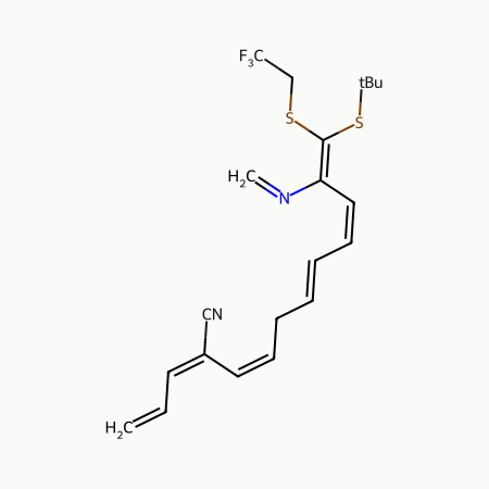 C=C/C=C(C#N)\C=C/C/C=C/C=C\C(N=C)=C(\SCC(F)(F)F)SC(C)(C)C